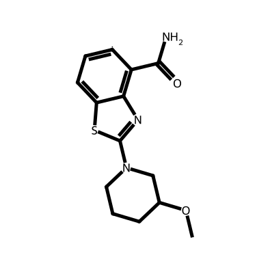 COC1CCCN(c2nc3c(C(N)=O)[c]ccc3s2)C1